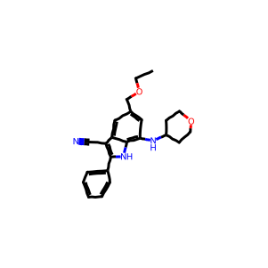 CCOCc1cc(NC2CCOCC2)c2[nH]c(-c3ccccc3)c(C#N)c2c1